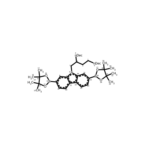 CCCCCCCCCCCCC(CCCCCCCCCC)Cn1c2cc(B3OC(C)(C)C(C)(C)O3)ccc2c2ccc(B3OC(C)(C)C(C)(C)O3)cc21